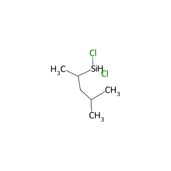 CC(C)CC(C)[SiH](Cl)Cl